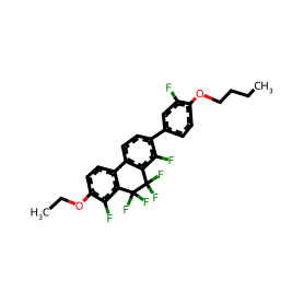 CCCCOc1ccc(-c2ccc3c(c2F)C(F)(F)C(F)(F)c2c-3ccc(OCC)c2F)cc1F